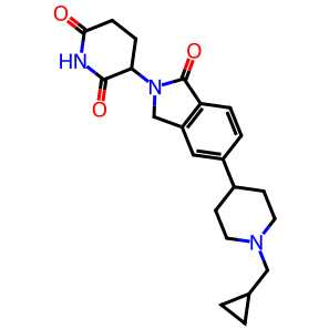 O=C1CCC(N2Cc3cc(C4CCN(CC5CC5)CC4)ccc3C2=O)C(=O)N1